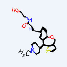 CN1CCC(=C2c3cc(/C=C/C(=O)NCCO)ccc3OCc3ccsc32)CC1